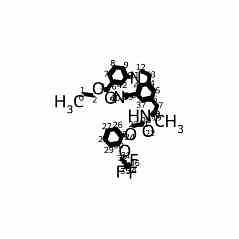 CCCOC(=O)c1cccc(N2CCc3cc(C[C@@H](C)NC(=O)COc4ccccc4OCC(F)(F)F)cc(C#N)c32)c1